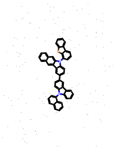 c1ccc2cc3c(cc2c1)c1cc(-c2ccc4c(c2)c2ccccc2n4-c2cccc4ccccc24)ccc1n3-c1cccc2c1sc1ccccc12